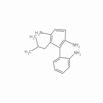 CC(C)Cc1c(N)ccc(N)c1-c1ccccc1N